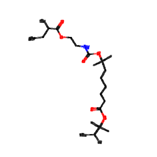 CCCCC(CC)C(C)(C)OC(=O)CCCCCC(C)(C)OC(=O)NCCOC(=O)C(CC(C)(C)C)C(C)(C)C